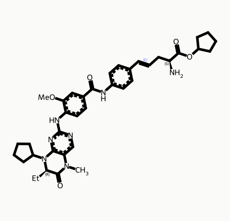 CC[C@@H]1C(=O)N(C)c2cnc(Nc3ccc(C(=O)Nc4ccc(/C=C/C[C@H](N)C(=O)OC5CCCC5)cc4)cc3OC)nc2N1C1CCCC1